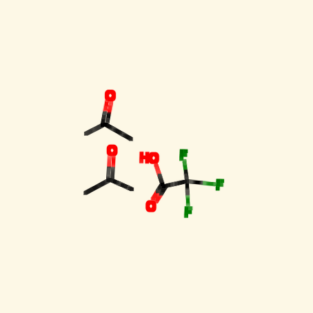 CC(C)=O.CC(C)=O.O=C(O)C(F)(F)F